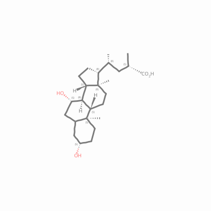 C[C@H](C[C@H](C)C(=O)O)[C@H]1CC[C@H]2[C@@H]3[C@@H](O)CC4C[C@@H](O)CC[C@]4(C)[C@H]3CC[C@]12C